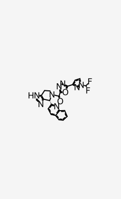 O=C(c1nnc(-c2ccn(C(F)F)n2)o1)N1CCc2[nH]cnc2[C@H]1c1ccc2ccccc2n1